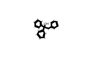 OC(Cc1ccccc1)(c1ccccc1)c1ccccc1